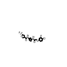 O=C(COc1ccc(Cl)c(F)c1)NC12CC(C1)C(NC(=O)C1COC(C(F)(F)F)C1)C2